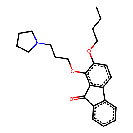 CCCCOc1ccc2c(c1OCCCN1CCCC1)C(=O)c1ccccc1-2